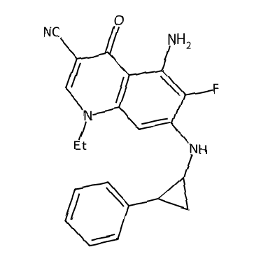 CCn1cc(C#N)c(=O)c2c(N)c(F)c(NC3CC3c3ccccc3)cc21